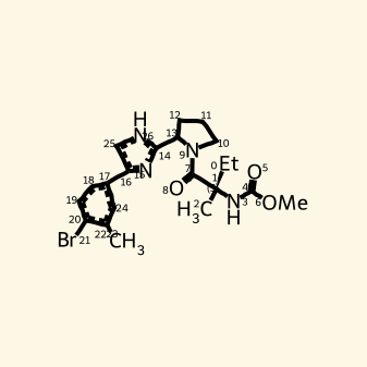 CC[C@](C)(NC(=O)OC)C(=O)N1CCCC1c1nc(-c2ccc(Br)c(C)c2)c[nH]1